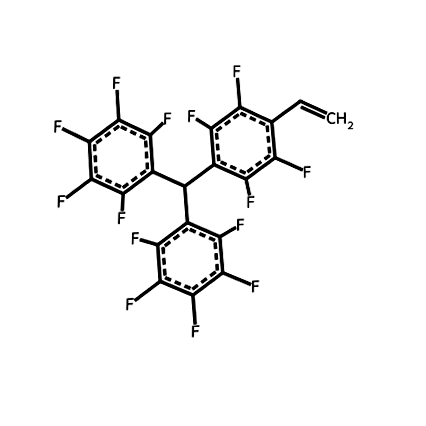 C=Cc1c(F)c(F)c(C(c2c(F)c(F)c(F)c(F)c2F)c2c(F)c(F)c(F)c(F)c2F)c(F)c1F